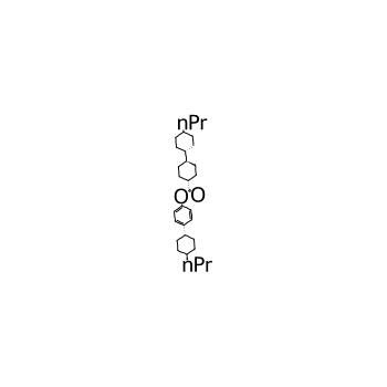 CCC[C@H]1CC[C@H](c2ccc(OC(=O)[C@H]3CC[C@H]([C@H]4CC[C@H](CCC)CC4)CC3)cc2)CC1